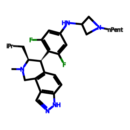 CCCCCN1CC(Nc2cc(F)c([C@@H]3c4ccc5[nH]ncc5c4CN(C)[C@H]3CC(C)C)c(F)c2)C1